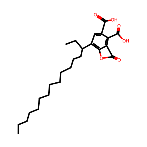 CCCCCCCCCCCCCC(CC)c1cc(C(=O)O)c(C(=O)O)c2c1OC2=O